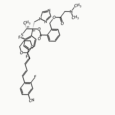 C[C@@H](S[C@H]1CO[C@H](C=CC=Cc2ccc(C#N)cc2F)OC1)[C@@](Cn1cncn1)(OC(=O)c1ccccc1COC(=O)CN(C)C)c1ccc(F)cc1F